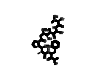 CC[C@H](C)C([C@@H](CC(=O)N1CCC[C@H]1[C@H](OC)[C@@H](C)C(=O)N[C@@H](Cc1ccccc1)C(=O)C(C)C(C)C)OC)N(C)C(=O)[C@@H](NC(=O)[C@H](C(C)C)N(C)C(C)(C)C)C(C)C